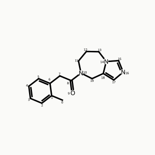 Cc1ccccc1CC(=O)N1CCCn2cncc2C1